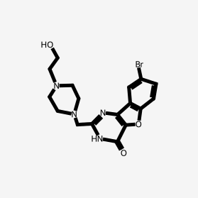 O=c1[nH]c(CN2CCN(CCO)CC2)nc2c1oc1ccc(Br)cc12